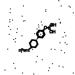 CCCCC[C@H]1CC[C@H](c2ccc(OB(O)O)cc2)CC1